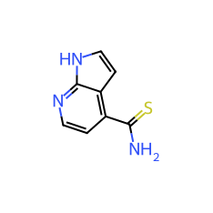 NC(=S)c1ccnc2[nH]ccc12